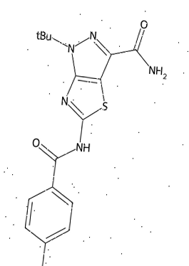 Cc1ccc(C(=O)Nc2nc3c(s2)c(C(N)=O)nn3C(C)(C)C)cc1